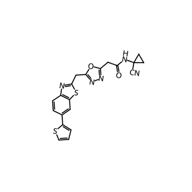 N#CC1(NC(=O)Cc2nnc(Cc3nc4ccc(-c5cccs5)cc4s3)o2)CC1